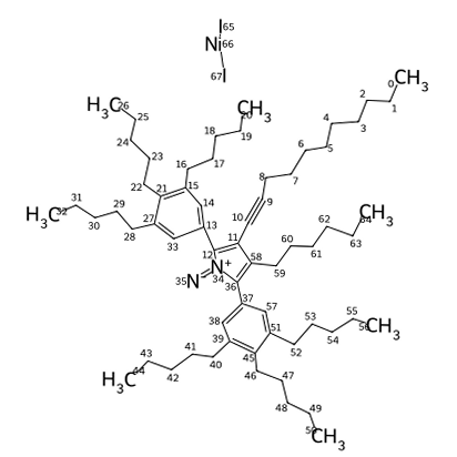 CCCCCCCCCC#CC1=C(c2cc(CCCCC)c(CCCCC)c(CCCCC)c2)[N+](=[N-])C(c2cc(CCCCC)c(CCCCC)c(CCCCC)c2)=C1CCCCCC.[I][Ni][I]